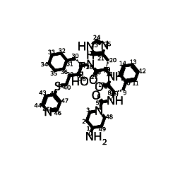 NC1CCN(C(=O)N[C@@H](Cc2ccccc2)C(=O)N[C@@H](Cc2c[nH]cn2)C(=O)N[C@@H](CC2CCCCC2)[C@@H](O)CCSc2ccncc2)CC1